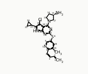 C=C/C=C\c1ncc(Sc2nc(N3CC[C@@H](N)C3)c3c(Cl)c(C4CC4)[nH]c3n2)cc1C